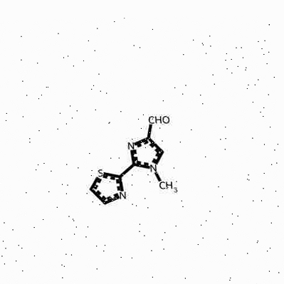 Cn1cc(C=O)nc1-c1nccs1